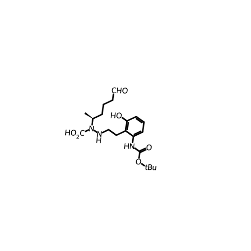 C[C@@H](CCCC=O)N(NCCc1c(O)cccc1NC(=O)OC(C)(C)C)C(=O)O